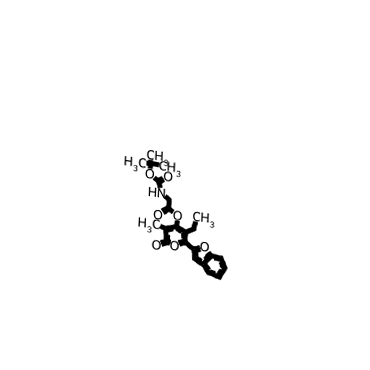 CCc1c(-c2cc3ccccc3o2)oc(=O)c(C)c1OC(=O)CNC(=O)OC(C)(C)C